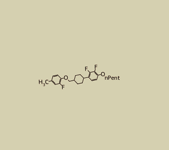 CCCCCOc1ccc(C2CCC(COc3ccc(C)cc3F)CC2)c(F)c1F